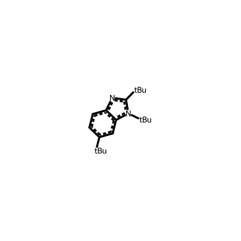 CC(C)(C)c1ccc2nc(C(C)(C)C)n(C(C)(C)C)c2c1